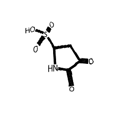 O=C1CC(S(=O)(=O)O)NC1=O